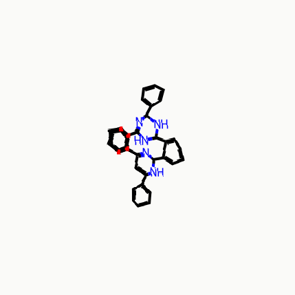 C1=C(c2ccccc2)NC(c2ccccc2C2NC(c3ccccc3)=NC(c3ccccc3)N2)N=C1c1ccccc1